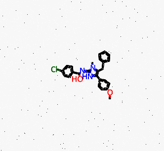 COc1ccc(-c2[nH]/c(=N\C(O)c3ccc(Cl)cc3)n(C)c2Cc2ccccc2)cc1